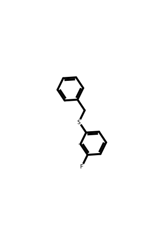 Fc1[c]c(SCc2ccccc2)ccc1